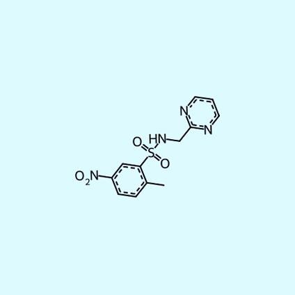 Cc1ccc([N+](=O)[O-])cc1S(=O)(=O)NCc1ncccn1